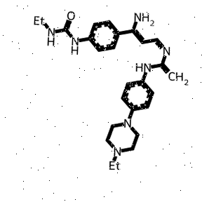 C=C(/N=C\C=C(/N)c1ccc(NC(=O)NCC)cc1)Nc1ccc(N2CCN(CC)CC2)cc1